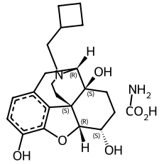 NC(=O)O.Oc1ccc2c3c1O[C@H]1[C@@H](O)CC[C@@]4(O)[C@@H](C2)N(CC2CCC2)CC[C@]314